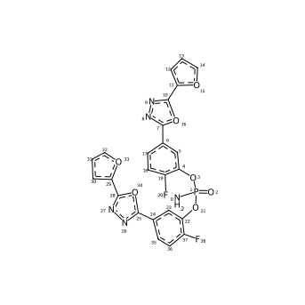 NP(=O)(Oc1cc(-c2nnc(-c3ccco3)o2)ccc1F)Oc1cc(-c2nnc(-c3ccco3)o2)ccc1F